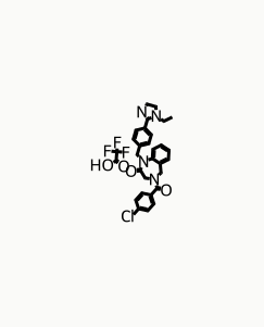 CCN1CCN=C1c1ccc(CN2C(=O)CN(C(=O)c3ccc(Cl)cc3)Cc3ccccc32)cc1.O=C(O)C(F)(F)F